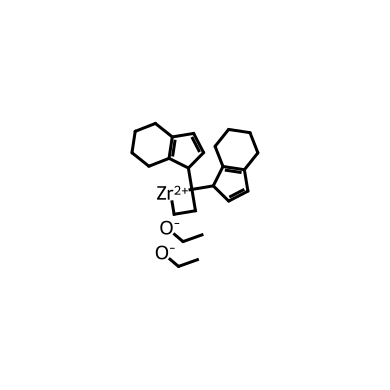 C1=CC([C]2(C3C=CC4=C3CCCC4)C[CH2][Zr+2]2)C2=C1CCCC2.CC[O-].CC[O-]